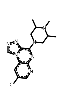 CC1CN(c2nc3ncc(Cl)cc3n3cnnc23)CC(C)N1C